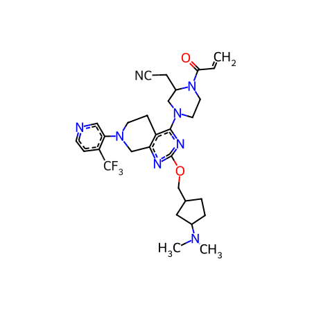 C=CC(=O)N1CCN(c2nc(OCC3CCC(N(C)C)C3)nc3c2CCN(c2cnccc2C(F)(F)F)C3)CC1CC#N